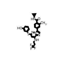 Cc1cc(-c2cnc3c(NCCC(F)(F)F)cc(Sc4cccc(O)c4)nn23)ccc1C(=O)NC1CC1